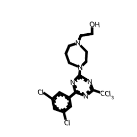 OCCN1CCCN(c2nc(-c3cc(Cl)cc(Cl)c3)nc(C(Cl)(Cl)Cl)n2)CC1